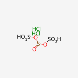 Cl.Cl.O=S(OS(=O)(=O)O)OS(=O)(=O)O